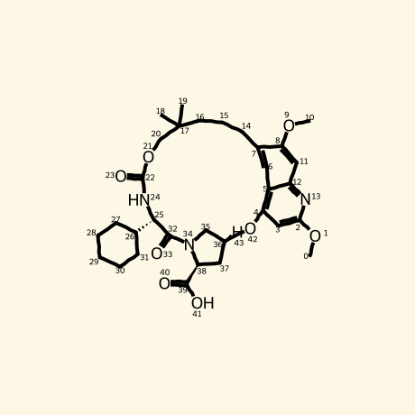 COc1cc2c3cc(c(OC)cc3n1)CCCC(C)(C)COC(=O)N[C@@H](C1CCCCC1)C(=O)N1C[C@@H](C[C@H]1C(=O)O)O2